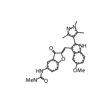 CNC(=O)Nc1ccc2c(c1)C(=O)/C(=C/c1c(-c3c(C)nn(C)c3C)[nH]c3ccc(OC)cc13)O2